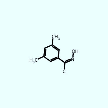 Cc1cc(C)cc(/C(Cl)=N\O)c1